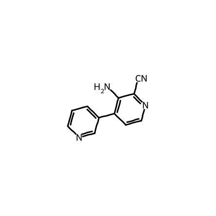 N#Cc1nccc(-c2cccnc2)c1N